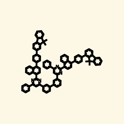 CC1(C)c2ccccc2-c2ccc(-c3ccc(-c4ccc(-c5nc(-c6ccccc6)cc(-c6cccc(-c7cccc(-c8cc(-c9ccccc9)nc(-c9ccc(-c%10ccc(-c%11cccc%12c%11C(C)(C)c%11ccccc%11-%12)cc%10)c%10ccccc9%10)n8)c7)c6)n5)c5ccccc45)cc3)cc21